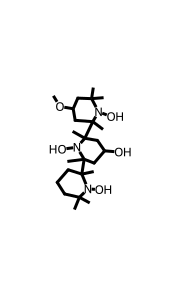 COC1CC(C)(C)N(O)C(C)(C2(C)CC(O)CC(C)(C3(C)CCCC(C)(C)N3O)N2O)C1